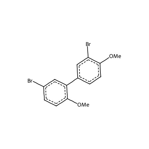 COc1ccc(-c2cc(Br)ccc2OC)cc1Br